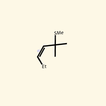 CC/C=C\C(C)(C)SC